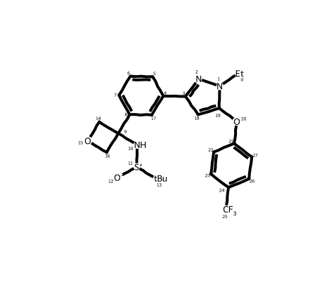 CCn1nc(-c2cccc(C3(N[S+]([O-])C(C)(C)C)COC3)c2)cc1Oc1ccc(C(F)(F)F)cc1